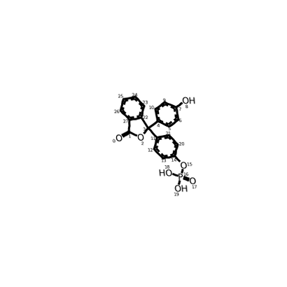 O=C1OC(c2ccc(O)cc2)(c2ccc(OP(=O)(O)O)cc2)c2ccccc21